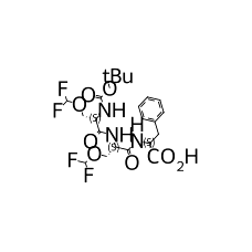 CC(C)(C)OC(=O)N[C@@H](COC(F)F)C(=O)N[C@@H](COC(F)F)C(=O)N[C@@H](Cc1ccccc1)C(=O)O